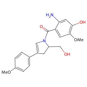 COc1ccc(C2=CN(C(=O)c3cc(OC)c(O)cc3N)C(CO)C2)cc1